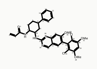 C=CC(=O)NC1CCC(c2ccccc2)CC1Nc1ncc2cc(-c3c(Cl)c(OC)cc(OC)c3Cl)c(OC)cc2n1